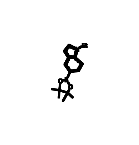 CCn1ccc2cc(B3OC(C)(C)C(C)(C)O3)ccc21